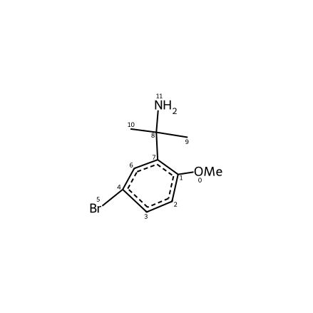 COc1ccc(Br)cc1C(C)(C)N